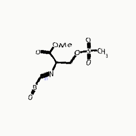 COC(=O)C(COS(C)(=O)=O)/N=C/B=O